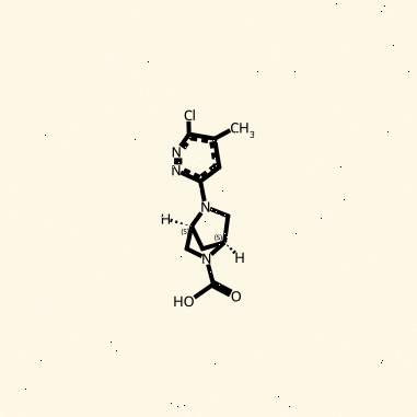 Cc1cc(N2C[C@@H]3C[C@H]2CN3C(=O)O)nnc1Cl